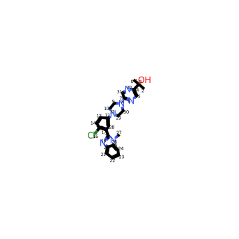 [CH2]C(C)(O)c1cnc(N2CCN(c3ccc(Cl)c(-c4nc5ccccc5n4C)c3)CC2)cn1